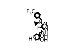 O[C@@H]1CNCC[C@@]1(O)CNc1ncnc(N(Cc2ccc(C(F)(F)F)cc2)C2CC2)c1F